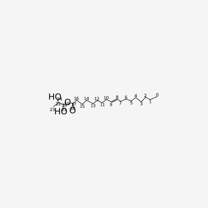 CCCCCCCCC=CCCCCCCCC(=O)OC(O)C(C)O